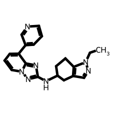 CCn1ncc2c1CCC(Nc1nc3c(-c4cccnc4)cccn3n1)C2